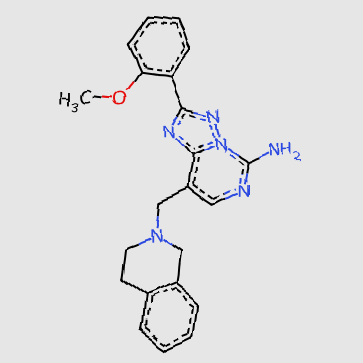 COc1ccccc1-c1nc2c(CN3CCc4ccccc4C3)cnc(N)n2n1